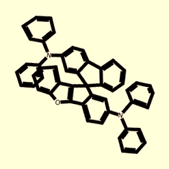 c1ccc(N(c2ccccc2)c2ccc3c(c2)C2(c4ccccc4-3)c3cc(N(c4ccccc4)c4ccccc4)ccc3-c3oc4ccccc4c32)cc1